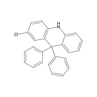 Clc1ccc2c(c1)C(c1ccccc1)(c1ccccc1)c1ccccc1N2